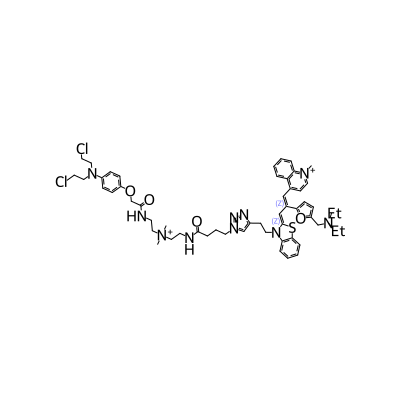 CCN(CC)Cc1ccc(C(=C\c2cc[n+](C)c3ccccc23)/C=C2\Sc3ccccc3N2CCc2cn(CCCC(=O)NCC[N+](C)(C)CCNC(=O)COc3ccc(N(CCCl)CCCl)cc3)nn2)o1